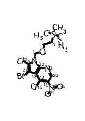 CS(C)(C)CCOCn1c(Cl)c(Br)c2c(Cl)c([N+](=O)[O-])cnc21